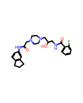 O=C(CN1CCN(CC(O)CNC(=O)c2ccccc2F)CC1)Nc1ccc2c(c1)CCC2